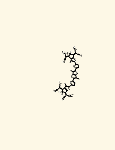 [C-]#[N+]/C(C#N)=C1/c2c(sc(-c3ccc(-c4sc5c(C)c(-c6ccc(-c7sc8c(c7C)/C(=C(/C#N)[N+]#[C-])C(F)(F)/C8=C(\C#N)[N+]#[C-])s6)sc5c4C)s3)c2C)/C(=C(\C#N)[N+]#[C-])C1(F)F